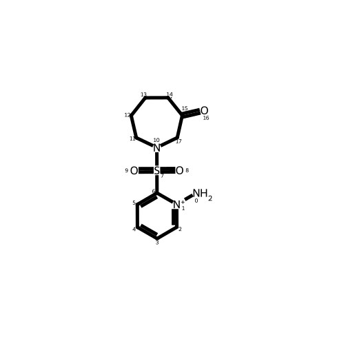 N[n+]1ccccc1S(=O)(=O)N1CCC[CH]C(=O)C1